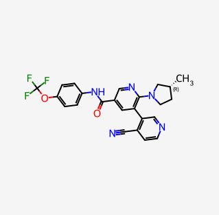 C[C@@H]1CCN(c2ncc(C(=O)Nc3ccc(OC(F)(F)F)cc3)cc2-c2cnccc2C#N)C1